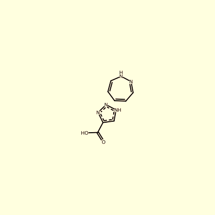 C1=CC=NNC=C1.O=C(O)c1c[nH]nn1